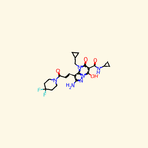 Nc1nn2c(O)c(C(=O)NC3CC3)c(=O)n(CC3CC3)c2c1/C=C/C(=O)N1CCC(F)(F)CC1